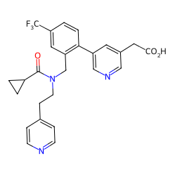 O=C(O)Cc1cncc(-c2ccc(C(F)(F)F)cc2CN(CCc2ccncc2)C(=O)C2CC2)c1